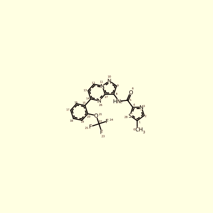 Cc1cnc(C(=O)Nc2cnn3ccc(-c4ccccc4OC(F)(F)F)nc23)s1